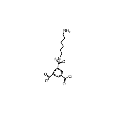 NCCCCCCN.O=C(Cl)c1cc(C(=O)Cl)cc(C(=O)Cl)c1